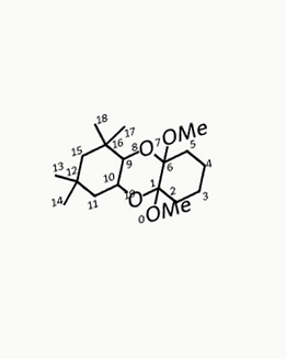 COC12CCCCC1(OC)OC1C(CC(C)(C)CC1(C)C)O2